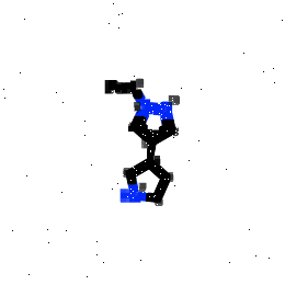 CCCC(C)n1cc([C@H]2CCNC2)cn1